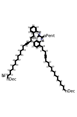 CCCCCCCCCCCCCCCCCCCCCCCC#CCCCc1ccccc1/N=C(CCCCC)\C(CCCC)=N\c1ccccc1CCCC#CCCCCCCCCCCCCCCCCCCCCCCC.[Ni]